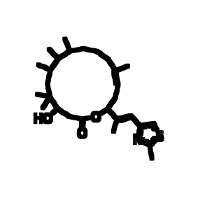 C/C1=C/CC(/C(C)=C/c2csc(C)n2)OC(=O)CC(O)C(C)(C)CC(C)C(C)C(C)CCC1